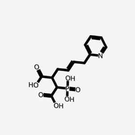 O=C(O)C(CC=CCc1ccccn1)C(C(=O)O)P(=O)(O)O